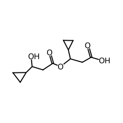 O=C(O)CC(OC(=O)CC(O)C1CC1)C1CC1